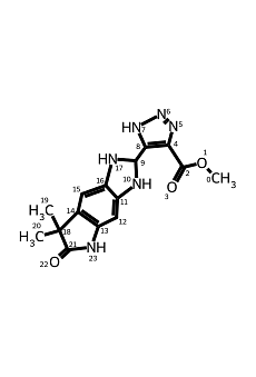 COC(=O)c1nn[nH]c1C1Nc2cc3c(cc2N1)C(C)(C)C(=O)N3